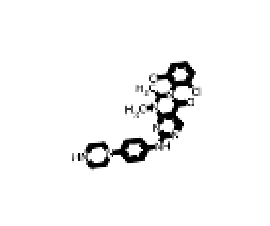 CC1N(C)c2nc(Nc3ccc(N4CCNCC4)cc3)ncc2C(=O)N1c1c(Cl)cccc1Cl